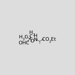 CCOC(=O)CNOC(C)(C)C=O